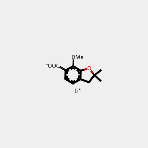 COc1c(C(=O)[O-])ccc2c1OC(C)(C)C2.[Li+]